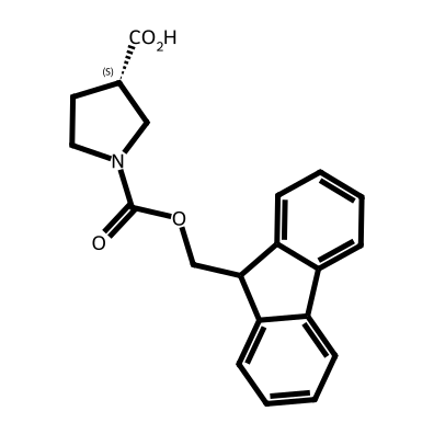 O=C(O)[C@H]1CCN(C(=O)OCC2c3ccccc3-c3ccccc32)C1